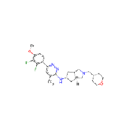 CCOc1ccc(-c2cc(C(F)(F)F)c(NC3CC4CN(CC5CCOCC5)C[C@H]4C3)nn2)c(F)c1F